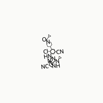 N#Cc1cc(Nc2nc(NC3CC3)c3ncc(C#N)n3n2)c(Cl)c(C2CCN(C(=O)C3CC3)CC2)c1